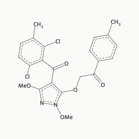 COc1nn(OC)c(OCC(=O)c2ccc(C)cc2)c1C(=O)c1c(Cl)ccc(C)c1Cl